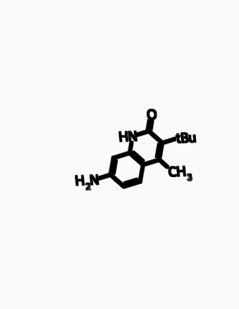 Cc1c(C(C)(C)C)c(=O)[nH]c2cc(N)ccc12